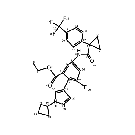 CCOC(=O)c1cc(NC(=O)C2(c3ccc(C(F)(F)F)cc3)CC2)cc(F)c1-c1cnn(C2CCC2)c1